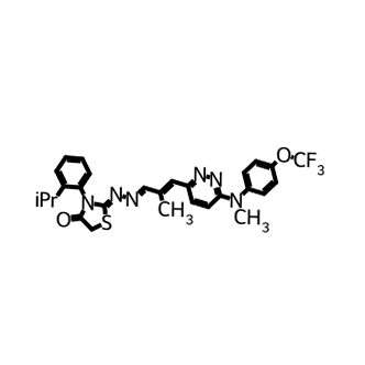 CC(/C=N/N=C1\SCC(=O)N1c1ccccc1C(C)C)=C\c1ccc(N(C)c2ccc(OC(F)(F)F)cc2)nn1